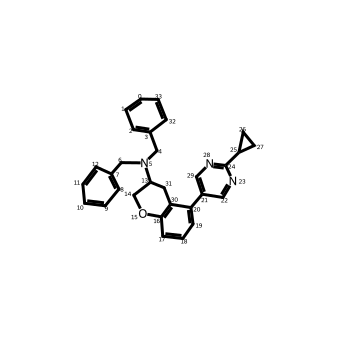 c1ccc(CN(Cc2ccccc2)C2COc3cccc(-c4cnc(C5CC5)nc4)c3C2)cc1